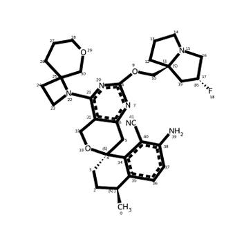 C[C@H]1CC[C@]2(Cc3nc(OC[C@@]45CCCN4C[C@H](F)C5)nc(N4CCC45CCCOC5)c3CO2)c2c1ccc(N)c2C#N